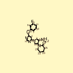 N[C@H]1CN(c2cc(Oc3cccc(F)c3)ncn2)C[C@@H]1N1CCCCC1=O